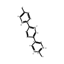 Cc1ccc(-c2ccc(-c3cnc(C)nc3)cn2)nc1